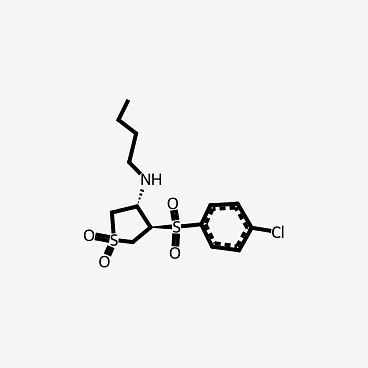 CCCCN[C@H]1CS(=O)(=O)C[C@@H]1S(=O)(=O)c1ccc(Cl)cc1